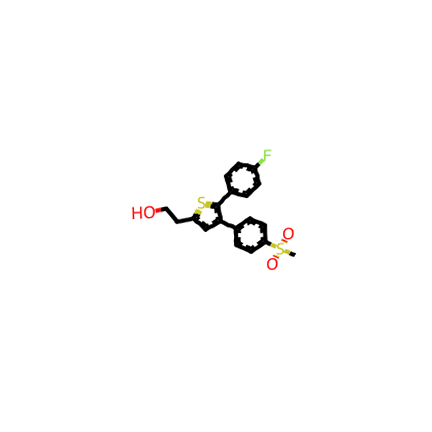 CS(=O)(=O)c1ccc(-c2cc(CCO)sc2-c2ccc(F)cc2)cc1